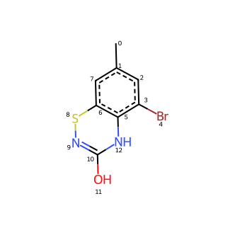 Cc1cc(Br)c2c(c1)SN=C(O)N2